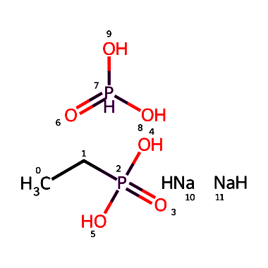 CCP(=O)(O)O.O=[PH](O)O.[NaH].[NaH]